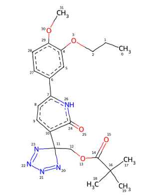 CCCOc1cc(-c2ccc(C3(COC(=O)C(C)(C)C)N=NN=N3)c(=O)[nH]2)ccc1OC